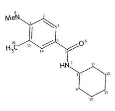 CNc1ccc(C(=O)NC2CCCCC2)cc1C